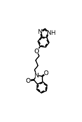 O=C1c2ccccc2C(=O)N1CCCCOc1ccc2[nH]cnc2c1